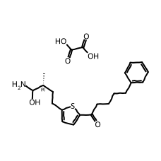 C[C@H](CCc1ccc(C(=O)CCCCc2ccccc2)s1)C(N)O.O=C(O)C(=O)O